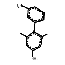 Nc1cccc(-c2c(F)cc(N)cc2F)c1